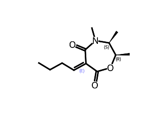 CCC/C=C1/C(=O)O[C@H](C)[C@H](C)N(C)C1=O